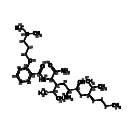 CCCC[C@@H](C[C@H](O)[C@@H](N)C[C@@H](C(C)C)C(NC(=O)c1ccccc1OCCCN(C)C)C(N)=O)C(C)C